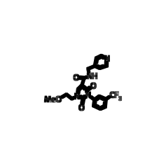 COCCn1cc(C(=O)NCc2ccncc2)c(=O)n(-c2cccc(C(F)(F)F)c2)c1=O